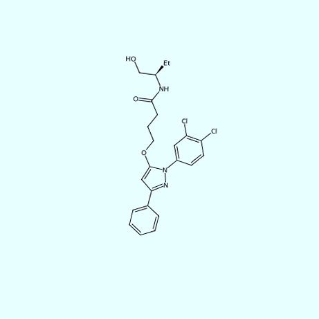 CC[C@H](CO)NC(=O)CCCOc1cc(-c2ccccc2)nn1-c1ccc(Cl)c(Cl)c1